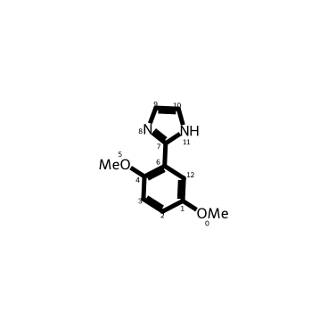 COc1ccc(OC)c(-c2ncc[nH]2)c1